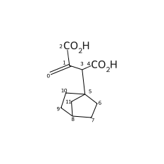 C=C(C(=O)O)C(C(=O)O)C12CCC(CC1)C2